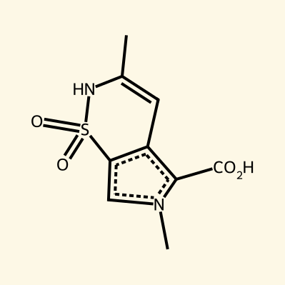 CC1=Cc2c(cn(C)c2C(=O)O)S(=O)(=O)N1